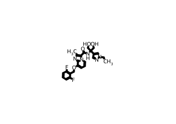 CCn1cc(C(CO)(CO)NC(=O)c2c(C)nc3c(OCc4c(F)cccc4F)cccn23)cn1